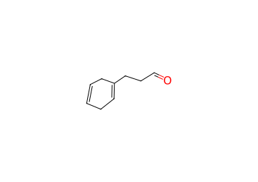 O=CCCC1=CCC=CC1